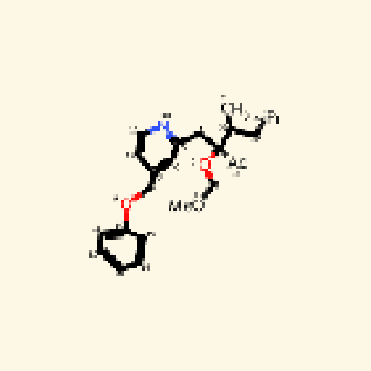 COCO[C@@](Cc1cc(COc2ccccc2)ccn1)(C(C)=O)[C@@H](C)CC(C)C